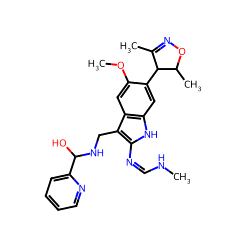 CN/C=N\c1[nH]c2cc(C3C(C)=NOC3C)c(OC)cc2c1CNC(O)c1ccccn1